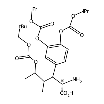 CC(C)OC(=O)Oc1ccc(C(C(C)C(C)OC(=O)OCC(C)(C)C)[C@H](N)C(=O)O)cc1OC(=O)OC(C)C